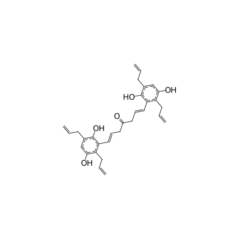 C=CCc1cc(O)c(CC=C)c(C=CCC(=O)CC=Cc2c(O)c(CC=C)cc(O)c2CC=C)c1O